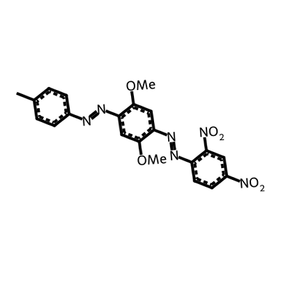 COc1cc(/N=N/c2ccc([N+](=O)[O-])cc2[N+](=O)[O-])c(OC)cc1/N=N/c1ccc(C)cc1